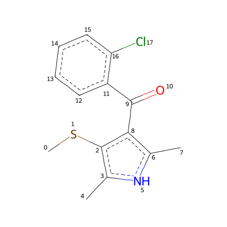 CSc1c(C)[nH]c(C)c1C(=O)c1ccccc1Cl